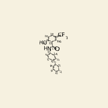 O=C(Nc1ccc(-c2ccccc2)cc1)c1cc(C(F)(F)F)ccc1O